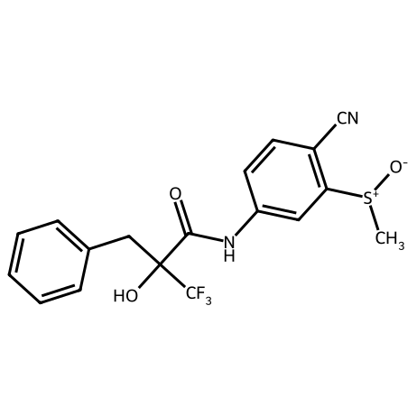 C[S+]([O-])c1cc(NC(=O)C(O)(Cc2ccccc2)C(F)(F)F)ccc1C#N